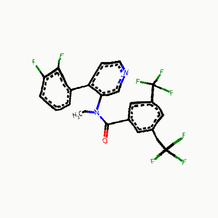 CN(C(=O)c1cc(C(F)(F)F)cc(C(F)(F)F)c1)c1cnccc1-c1cccc(F)c1F